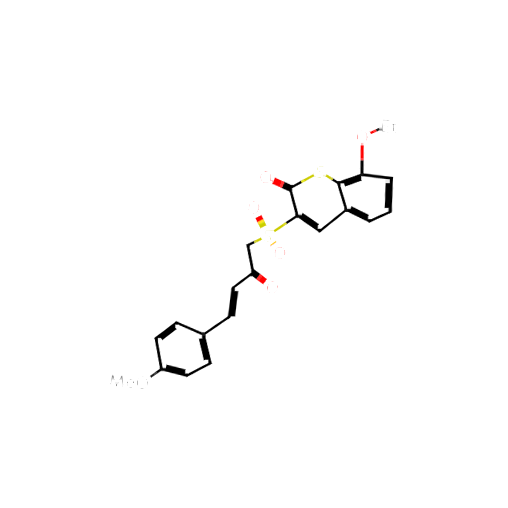 CCOc1cccc2cc(S(=O)(=O)CC(=O)/C=C/c3ccc(OC)cc3)c(=O)sc12